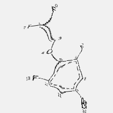 FC(F)=COc1c(F)cc(Br)cc1F